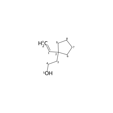 C=CC1(CCO)CCCC1